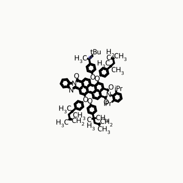 C=C(C)CC(C)(C)c1ccc(Oc2cc3c4c(cc(Oc5ccc(C(C)(C)CC(=C)C)cc5)c5c6c(Oc7ccc(C(C)(C)CC(=C)C)cc7)cc7c8c(cc(Oc9ccc(/C(C)=C/C(C)(C)C)cc9)c(c2c45)c68)c(=O)n2c4ccccc4nc72)C(=O)N(c2c(C(C)C)cccc2C(C)C)C3=O)cc1